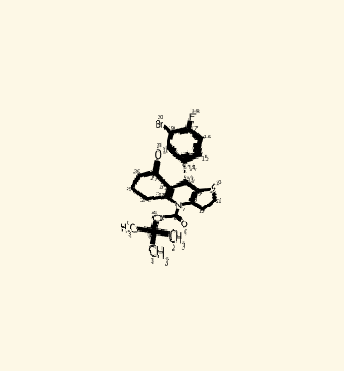 CC(C)(C)OC(=O)N1C2=C(SCC2)[C@@H](c2ccc(F)c(Br)c2)C2=C1CCCC2=O